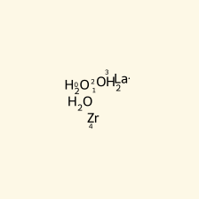 O.O.O.[La].[Zr]